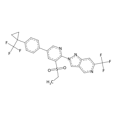 CCS(=O)(=O)c1cc(-c2ccc(C3(C(F)(F)F)CC3)cc2)cnc1-n1cc2cnc(C(F)(F)F)cc2n1